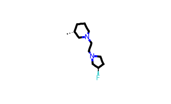 C[C@@H]1CCCN(CCN2CC[C@@H](F)C2)C1